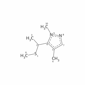 CSC(C)c1c(C)cnn1C